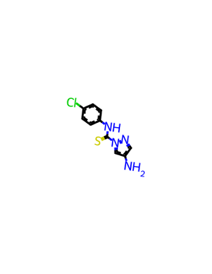 Nc1cnn(C(=S)Nc2ccc(Cl)cc2)c1